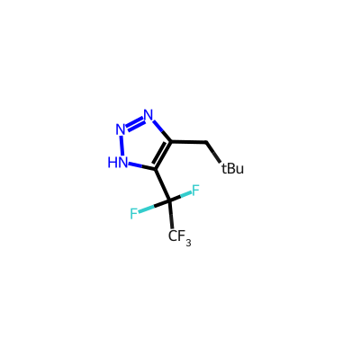 CC(C)(C)Cc1nn[nH]c1C(F)(F)C(F)(F)F